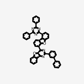 c1ccc(-c2cccc(-c3nc(-c4cccc5c4oc4cccc(-c6nc(-c7ccccc7)nc(-c7ccccc7)n6)c45)c4oc5ccccc5c4n3)c2)cc1